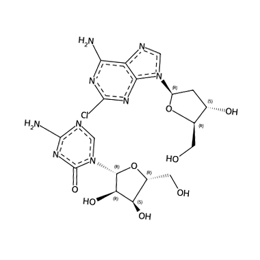 Nc1nc(Cl)nc2c1ncn2[C@H]1C[C@H](O)[C@@H](CO)O1.Nc1ncn([C@@H]2O[C@H](CO)[C@@H](O)[C@H]2O)c(=O)n1